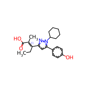 CC/C(=C(/C)C(=O)O)c1cc(-c2ccc(O)cc2)n(C2CCCCC2)n1